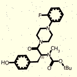 CN(C(=O)OC(C)(C)C)[C@@H](Cc1ccc(O)cc1)C(=O)N1CCN(c2ccccc2F)CC1